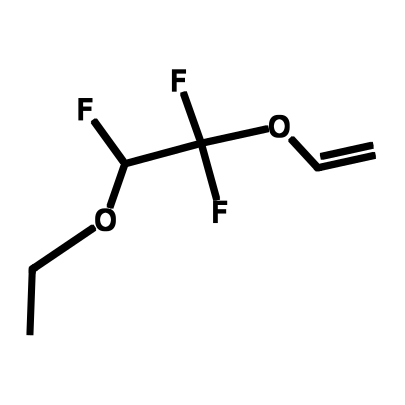 C=COC(F)(F)C(F)OCC